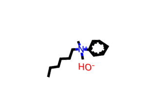 CCCCCC[N+](C)(C)c1ccccc1.[OH-]